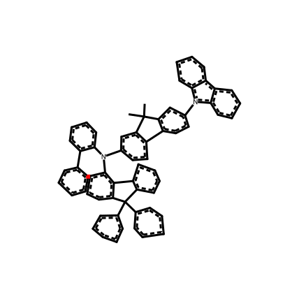 CC1(C)c2cc(N(c3ccccc3-c3ccccc3)c3cccc4c3-c3ccccc3C4(c3ccccc3)c3ccccc3)ccc2-c2ccc(-n3c4ccccc4c4ccccc43)cc21